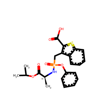 CC(C)OC(=O)[C@H](C)NP(=O)(Cc1c(C(=O)O)sc2ccccc12)Oc1ccccc1